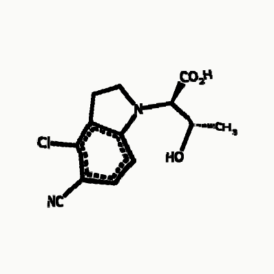 C[C@H](O)[C@H](C(=O)O)N1CCc2c1ccc(C#N)c2Cl